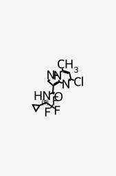 Cc1cc(Cl)nc2c(C(=O)N[C@@H](C3CC3)C(F)(F)F)cnn12